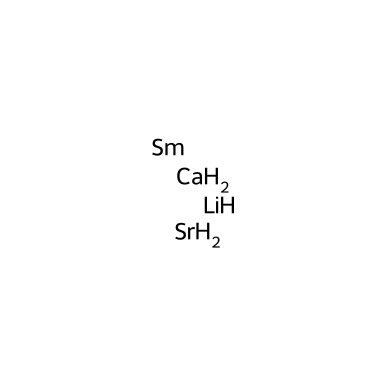 [CaH2].[LiH].[Sm].[SrH2]